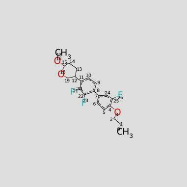 CCCOc1ccc(-c2ccc(C3CCC(OC)OC3)c(F)c2F)cc1F